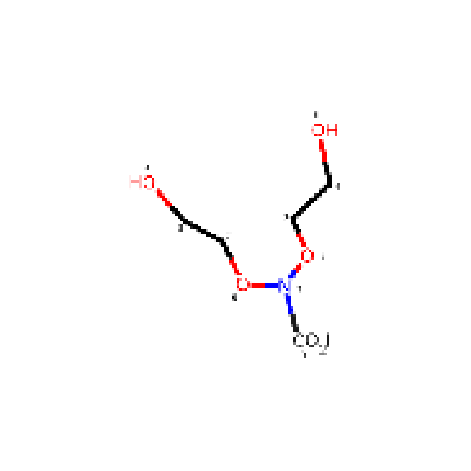 O=C(O)N(OCCO)OCCO